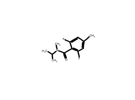 Cc1cc(F)c(C(=O)N(C)C(C)C)c(F)c1